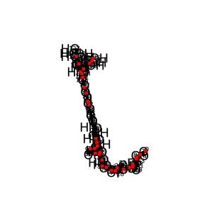 CCOC(=O)CCC(=O)c1cc2c(F)c(OCCCOc3c(OC)cc4c(c3F)CN(C(=O)CCC(=O)O[C@@H](C)CNC(=O)CC[C@H](NC(=O)CN3C(=O)C=CC3=O)C(=O)NCC(=O)NCC(=O)NCC(=O)NCC(=O)NCCOCCOCCOCCOCCOCCOCCOCCOCCC(=O)N[C@@H](CCC(=O)NC[C@H](O)[C@@H](O)[C@H](O)[C@H](O)CO)C(=O)NC[C@H](O)[C@@H](O)[C@H](O)[C@H](O)CO)C4)c(OC)cc2s1